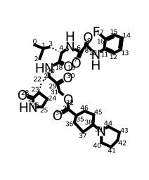 CC(C)C[C@H](NC(=O)C(=O)Nc1ccccc1F)C(=O)N[C@@H](C[C@@H]1CCNC1=O)C(=O)COC(=O)C1CCC(N2CCCCC2)CC1